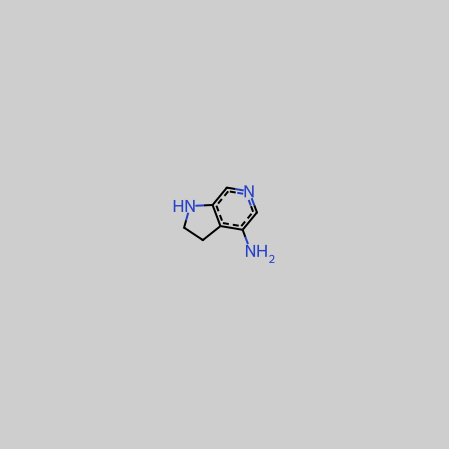 Nc1cncc2c1CCN2